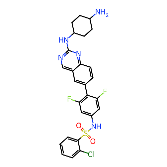 NC1CCC(Nc2ncc3cc(-c4c(F)cc(NS(=O)(=O)c5ccccc5Cl)cc4F)ccc3n2)CC1